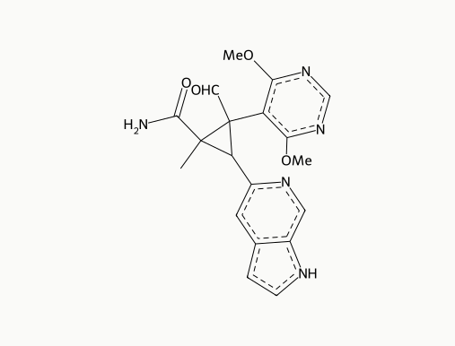 COc1ncnc(OC)c1C1(C=O)C(c2cc3cc[nH]c3cn2)C1(C)C(N)=O